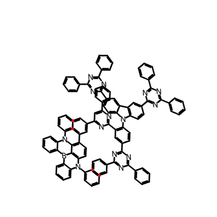 c1ccc(-c2cc(-c3cccc(-c4ccc5c6c4N(c4ccccc4)c4ccccc4B6c4ccccc4N5c4ccccc4)c3)nc(-c3cc(-c4nc(-c5ccccc5)nc(-c5ccccc5)n4)ccc3-n3c4ccc(-c5nc(-c6ccccc6)nc(-c6ccccc6)n5)cc4c4cc(-c5nc(-c6ccccc6)nc(-c6ccccc6)n5)ccc43)n2)cc1